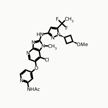 CO[C@H]1C[C@@H](n2nc(Nc3nc4ncc(Oc5ccnc(NC(C)=O)c5)c(Cl)c4n3C)cc2C(C)(F)F)C1